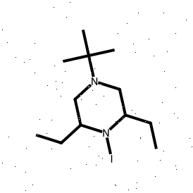 CCC1CN(C(C)(C)C)CC(CC)N1I